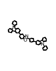 c1ccc(-n2c3ccccc3c3cc(-c4ccc(-c5nc6cc(-c7ccc8c(c7)c7ccccc7n8-c7ccccc7)ccc6o5)cc4)ccc32)cc1